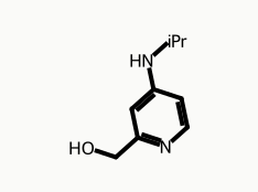 CC(C)Nc1ccnc(CO)c1